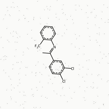 C/C(=N\c1ccccc1C(F)(F)F)c1ccc(Cl)c(Cl)c1